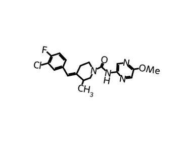 COc1cnc(NC(=O)N2CCC(=Cc3ccc(F)c(Cl)c3)C(C)C2)cn1